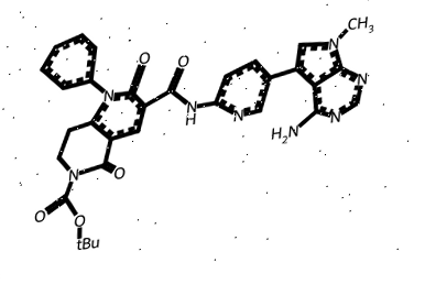 Cn1cc(-c2ccc(NC(=O)c3cc4c(n(-c5ccccc5)c3=O)CCN(C(=O)OC(C)(C)C)C4=O)nc2)c2c(N)ncnc21